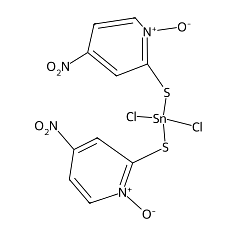 O=[N+]([O-])c1cc[n+]([O-])c([S][Sn]([Cl])([Cl])[S]c2cc([N+](=O)[O-])cc[n+]2[O-])c1